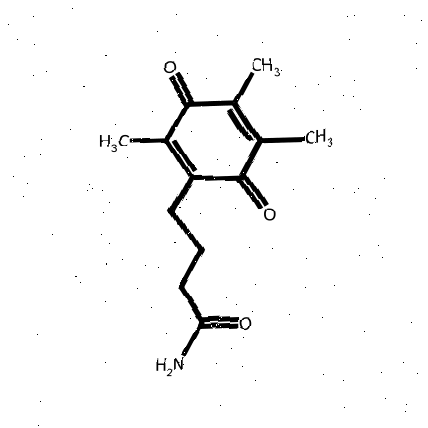 CC1=C(C)C(=O)C(CCCC(N)=O)=C(C)C1=O